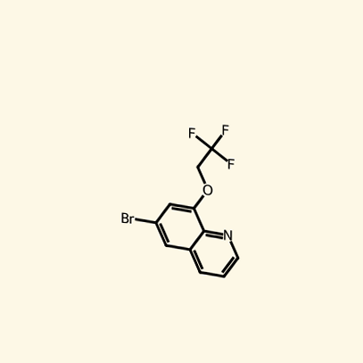 FC(F)(F)COc1cc(Br)cc2cccnc12